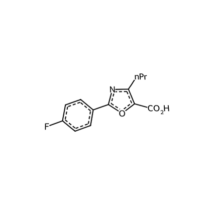 CCCc1nc(-c2ccc(F)cc2)oc1C(=O)O